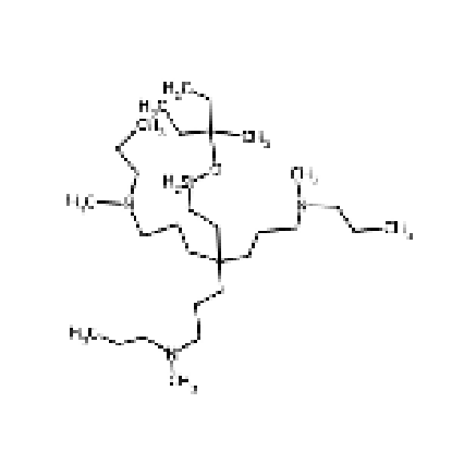 CCCN(C)CCCC(CCCN(C)CCC)(CCCN(C)CCC)CC[SiH2]OC(C)(CC)CC